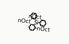 CCCCCCCCc1ccccc1[Si](c1ccccc1CCCCCCCC)c1ccccc1CCCCCCCC